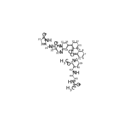 COc1nc(-c2cccc(-c3cccc(-c4ccn5c(=O)c(CNC[C@@H]6CCC(=O)N6)cnc5c4)c3Cl)c2Cl)ccc1CNCCNC(C)=O